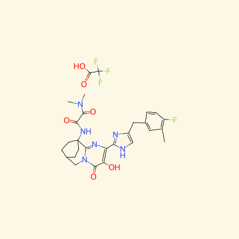 Cc1cc(Cc2c[nH]c(-c3nc4n(c(=O)c3O)CC3CCC4(NC(=O)C(=O)N(C)C)CC3)n2)ccc1F.O=C(O)C(F)(F)F